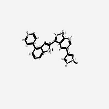 Cn1cc(-c2cnc3[nH]nc(-c4cc5c(-c6ccncc6)cccc5[nH]4)c3c2)cn1